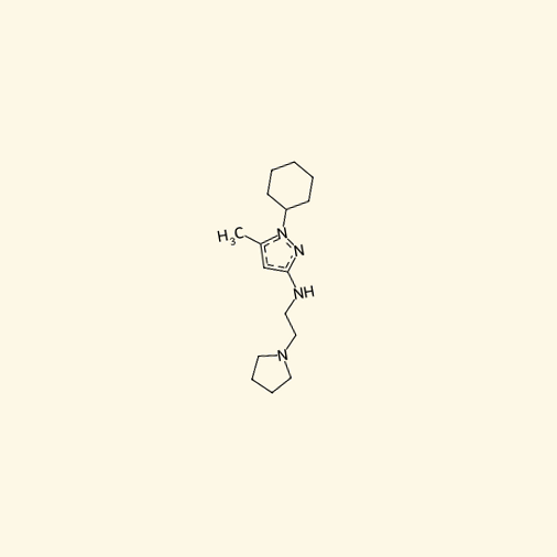 Cc1cc(NCCN2CCCC2)nn1C1CCCCC1